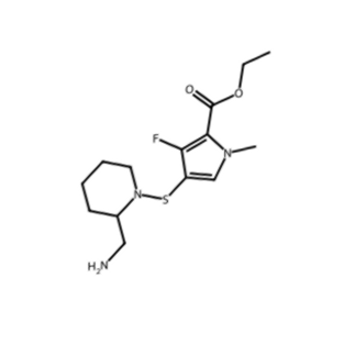 CCOC(=O)c1c(F)c(SN2CCCCC2CN)cn1C